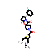 C=N/C=c1/cc(C(=O)N2CCC3(CC2)O[C@@H]2CC[C@@H](c4cc(F)cc(F)c4)N2C3=O)s/c1=C/C